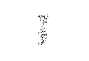 Nc1ccccc1NC(=O)CCCCCNC(=O)c1cc2cc(OC(F)(F)F)ccc2[nH]1